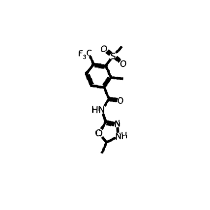 Cc1c(C(=O)NC2=NNC(C)O2)ccc(C(F)(F)F)c1S(C)(=O)=O